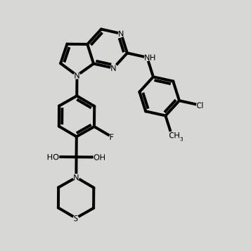 Cc1ccc(Nc2ncc3ccn(-c4ccc(C(O)(O)N5CCSCC5)c(F)c4)c3n2)cc1Cl